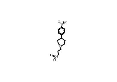 O=[N+]([O-])c1ccc(C2CCN(CCC[SH](=O)=O)CC2)cc1